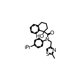 Cc1nc(CN(C(=O)C2(O)CCCc3ccccc32)c2ccc(C(C)C)cc2)cs1